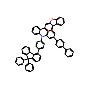 c1ccc(-c2ccc(-c3cccc(N(c4ccc(-c5cccc6c5-c5ccccc5C6(c5ccccc5)c5ccccc5)cc4)c4ccccc4-c4ccc5c(c4)oc4ccccc45)c3)cc2)cc1